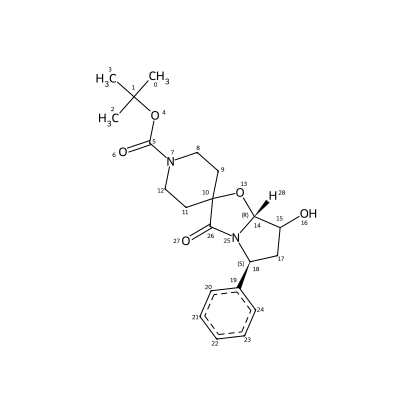 CC(C)(C)OC(=O)N1CCC2(CC1)O[C@@H]1C(O)C[C@@H](c3ccccc3)N1C2=O